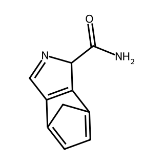 NC(=O)C1N=CC2=C1C1=CC=C2C1